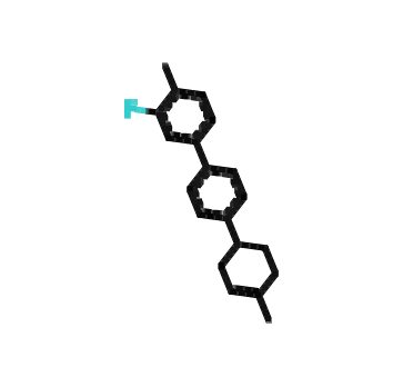 CC1=CCC(c2ccc(-c3ccc(C)c(F)c3)cc2)CC1